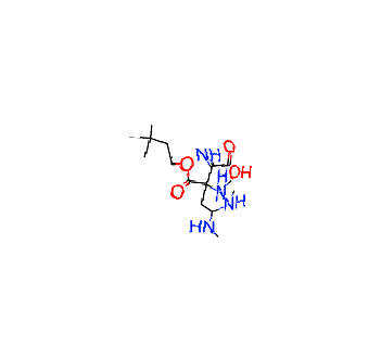 CNC(CC(NC)(C(=N)C(=O)O)C(=O)OCCC(C)(C)C)NC